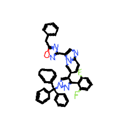 Fc1cccc(F)c1-c1nn(C(c2ccccc2)(c2ccccc2)c2ccccc2)cc1-c1ccc2ncc(-c3noc(Cc4ccccc4)n3)n2c1